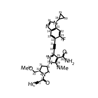 C#CC(=O)N1C[C@@H](n2nc(C#Cc3cc4ncn(C5CC5)c4cc3F)c(C(N)=O)c2NC)C[C@@H]1COC